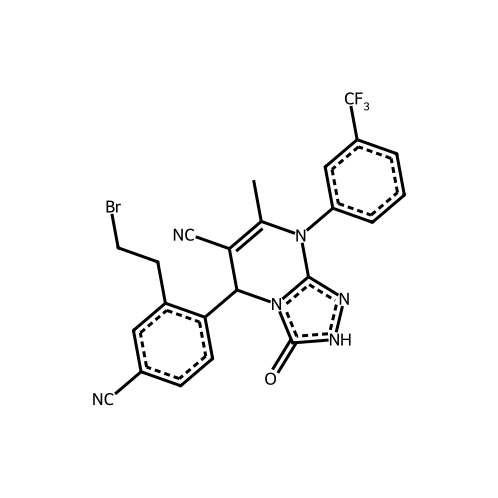 CC1=C(C#N)C(c2ccc(C#N)cc2CCBr)n2c(n[nH]c2=O)N1c1cccc(C(F)(F)F)c1